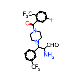 NC(C=O)C(c1cccc(C(F)(F)F)c1)N1CCN(C(=O)c2cc(F)ccc2C(F)(F)F)CC1